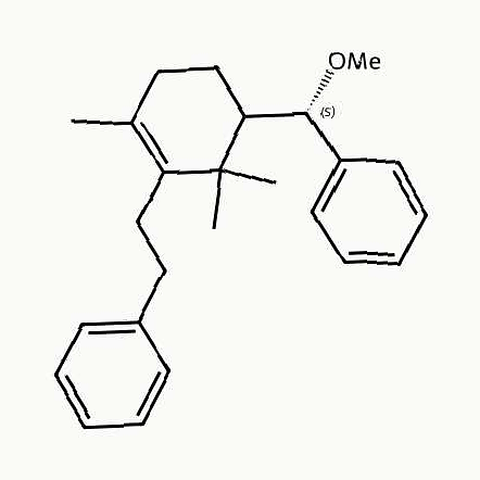 CO[C@H](c1ccccc1)C1CCC(C)=C(CCc2ccccc2)C1(C)C